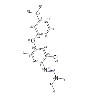 CCN(C)/C=N/c1cc(C)c(Oc2cccc(C(C)C)c2)cc1Cl